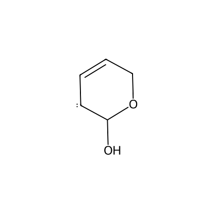 OC1[C]C=CCO1